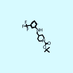 CC(C)(C)OC(=O)N1CCC(CNc2[c]ccc(C(F)(F)F)c2)CC1